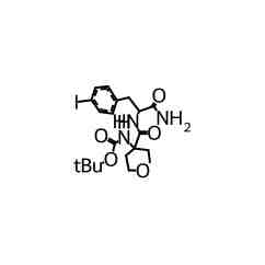 CC(C)(C)OC(=O)NC1(C(=O)NC(Cc2ccc(I)cc2)C(N)=O)CCOCC1